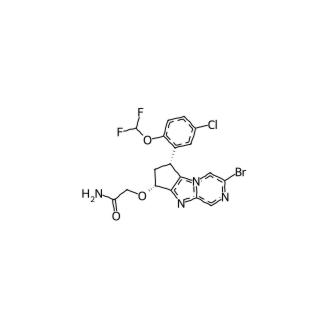 NC(=O)CO[C@@H]1C[C@H](c2cc(Cl)ccc2OC(F)F)c2c1nc1cnc(Br)cn21